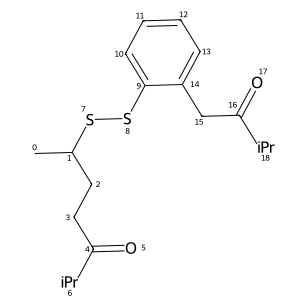 CC(CCC(=O)C(C)C)SSc1ccccc1CC(=O)C(C)C